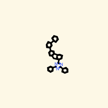 c1ccc(-c2cccc(-c3ccc4c(c3)-c3cccc(-c5nc(-c6ccccc6)nc(-c6ccccc6)n5)c3C4)c2)cc1